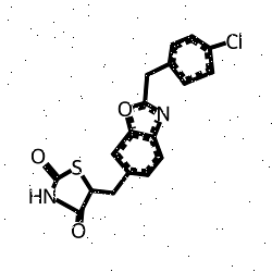 O=C1NC(=O)C(Cc2ccc3nc(Cc4ccc(Cl)cc4)oc3c2)S1